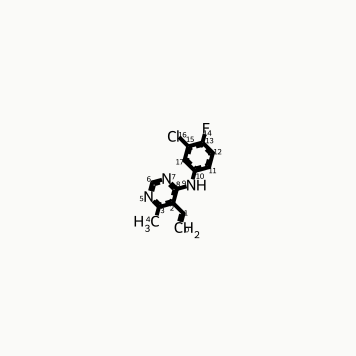 C=Cc1c(C)ncnc1Nc1ccc(F)c(Cl)c1